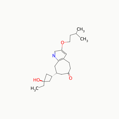 CC[C@]1(O)C[C@H](C2CC(=O)CCc3cc(OCCC(C)C)cnc3C2)C1